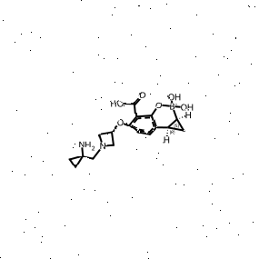 NC1(CN2CC(Oc3ccc4c(c3C(=O)O)O[B-](O)(O)[C@H]3C[C@@H]43)C2)CC1